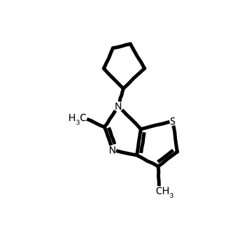 Cc1csc2c1nc(C)n2C1CCCC1